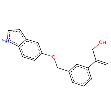 C=C(CO)c1cccc(COc2ccc3[nH]ccc3c2)c1